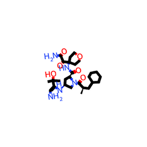 C[C@H](CC1CCCCC1)C(=O)N1C[C@@H](N/C(=C\N)C(C)(C)O)C[C@H]1C(=O)NC1(C(=O)C(N)=O)CCOCC1